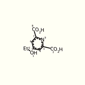 CCO.O=C(O)c1cccc(C(=O)O)n1